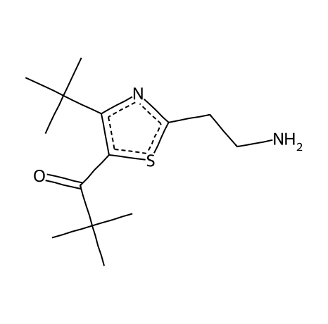 CC(C)(C)C(=O)c1sc(CCN)nc1C(C)(C)C